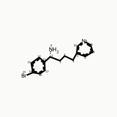 N[C@H](CCCc1cccnc1)c1ccc(Br)cc1